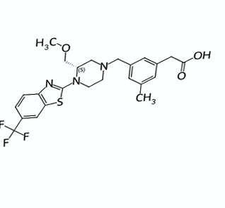 COC[C@@H]1CN(Cc2cc(C)cc(CC(=O)O)c2)CCN1c1nc2ccc(C(F)(F)F)cc2s1